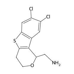 NCC1OCCc2sc3cc(Cl)c(Cl)cc3c21